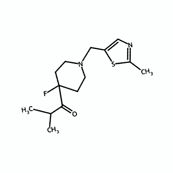 Cc1ncc(CN2CCC(F)(C(=O)C(C)C)CC2)s1